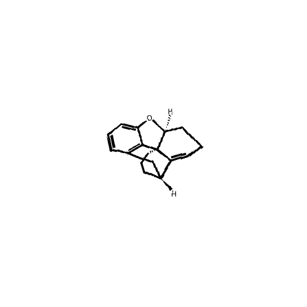 C1=C2[C@@H]3CCC[C@@]24c2c(cccc2O[C@H]4CC1)C3